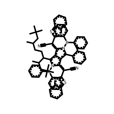 Cc1ccccc1-c1c2/c(=C(\C#N)c3nc4ccccc4s3)n(B(c3ccccc3)c3ccccc3)c(C(CCC(C)CC(C)(C)C)C(C)CC(C)(C)C)c2/c(=C(\C#N)c2nc3ccccc3s2)n1B(c1ccccc1)c1ccccc1